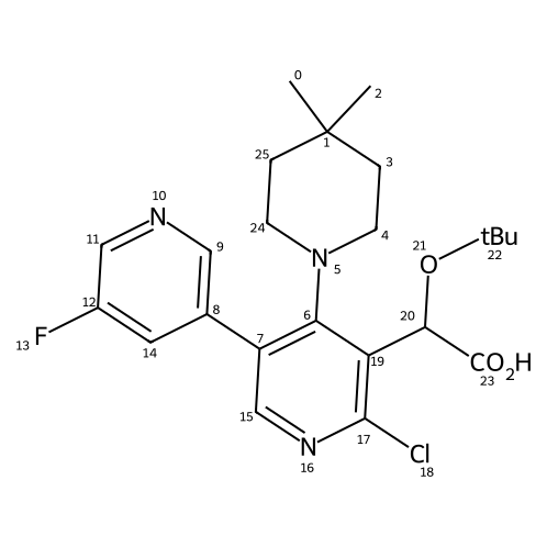 CC1(C)CCN(c2c(-c3cncc(F)c3)cnc(Cl)c2C(OC(C)(C)C)C(=O)O)CC1